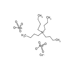 CCCC[N+](CCCC)(CCCC)CCCC.[Ce+].[O]=[Mn](=[O])(=[O])[O-].[O]=[Mn](=[O])(=[O])[O-]